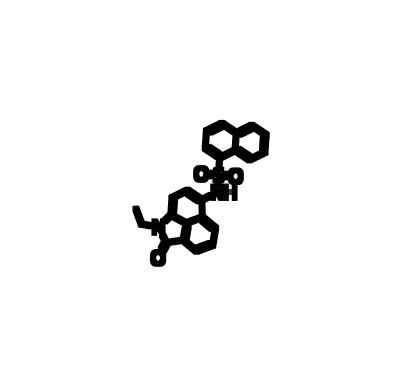 CCN1C(=O)c2cccc3c(NS(=O)(=O)c4cccc5ccccc45)ccc1c23